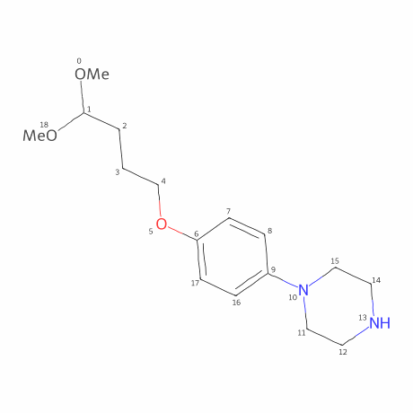 COC(CCCOc1ccc(N2CCNCC2)cc1)OC